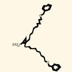 CCOC(=O)C1CC1(CCCCCCCCCOCc1ccccc1)CCCCCCCCCOCc1ccccc1